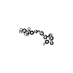 O=C1CCC(N2C(=O)c3ccc(N4CC(CN5CCC(N6CCC=C(c7cnc8ccc(N9CCC[C@@H]9c9cccc(F)c9)nn78)C6)CC5)C4)cc3C2=O)C(=O)N1